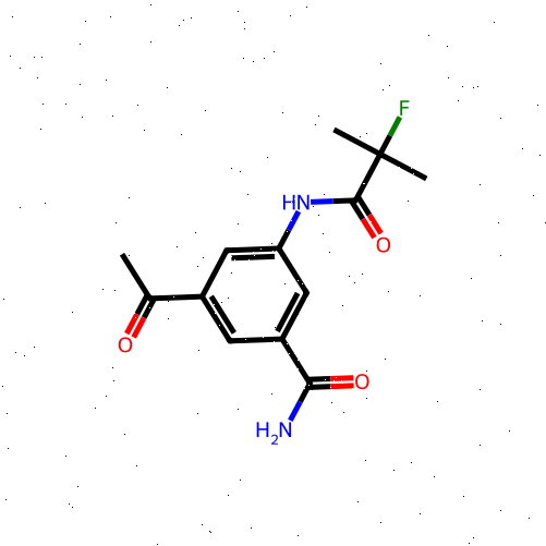 CC(=O)c1cc(NC(=O)C(C)(C)F)cc(C(N)=O)c1